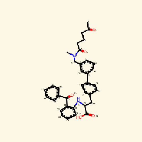 CC(=O)CCCC(=O)N(C)Cc1cccc(-c2ccc(CC(Nc3ccccc3C(=O)c3ccccc3)C(=O)O)cc2)c1